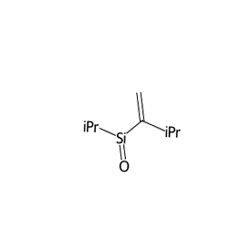 C=C(C(C)C)[Si](=O)C(C)C